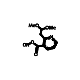 COC(Cc1ncccc1C(=O)ON=O)OC